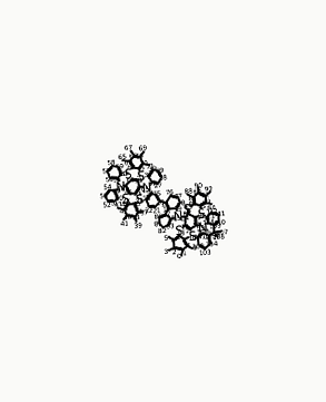 Cc1c(C)c(C)c2c(c1C)SC1=C(S2)C(n2c3c(c4c(-c5cccc(N(c6ccccc6)c6c7sc8c(C)c(C)c(C)c(C)c8sc7c(N(c7ccccc7)c7ccccc7)c7sc8c(C)c(C)c(C)c(C)c8sc67)c5)cccc42)=CCCC=3)C2Sc3c(C)c(C)c(C)c(C)c3SC2=C1N1c2ccccc2C(C)(C)c2ccccc21